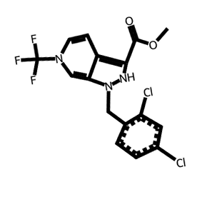 COC(=O)C1=C2C=CN(C(F)(F)F)C=C2N(Cc2ccc(Cl)cc2Cl)N1